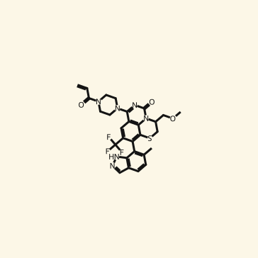 C=CC(=O)N1CCN(c2nc(=O)n3c4c(c(-c5c(C)ccc6cn[nH]c56)c(C(F)(F)F)cc24)SCC3COC)CC1